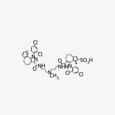 CN(CCCNC(=O)c1nn(-c2ccc(Cl)cc2Cl)c2c1CCCc1ccsc1-2)CCCNC(=O)c1nn(-c2ccc(Cl)cc2Cl)c2c1CCCc1cc(S(=O)(=O)O)sc1-2